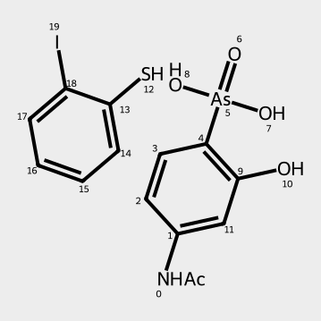 CC(=O)Nc1ccc([As](=O)(O)O)c(O)c1.Sc1ccccc1I